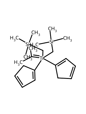 C[C](C)=[Ti]([CH2][Si](C)(C)C)([CH2][Si](C)(C)C)([C]1=CC=CC1)[C]1=CC=CC1